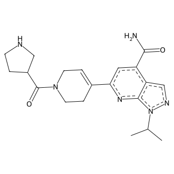 CC(C)n1ncc2c(C(N)=O)cc(C3=CCN(C(=O)C4CCNC4)CC3)nc21